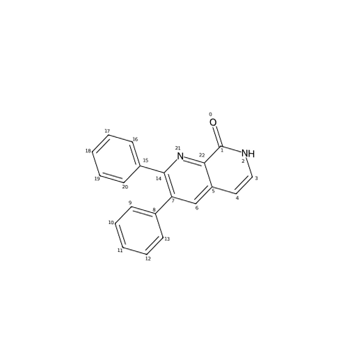 O=c1[nH]ccc2cc(-c3ccccc3)c(-c3ccccc3)nc12